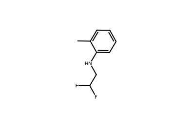 Cc1ccccc1NCC(F)F